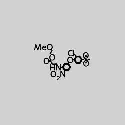 COCCOC(=O)CCNc1cc(Oc2ccc(S(C)(=O)=O)cc2Cl)ccc1[N+](=O)[O-]